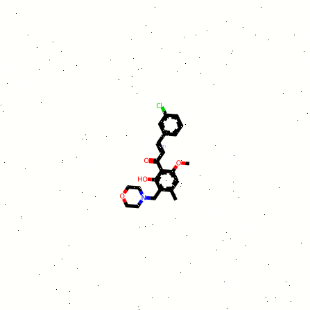 COc1cc(C)c(CN2CCOCC2)c(O)c1C(=O)/C=C/c1cccc(Cl)c1